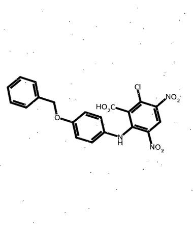 O=C(O)c1c(Cl)c([N+](=O)[O-])cc([N+](=O)[O-])c1Nc1ccc(OCc2ccccc2)cc1